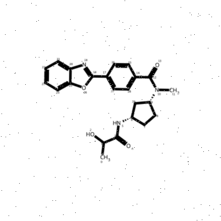 CC(O)C(=O)N[C@H]1CC[C@@H](N(C)C(=O)c2ccc(-c3nc4ccccc4o3)cc2)C1